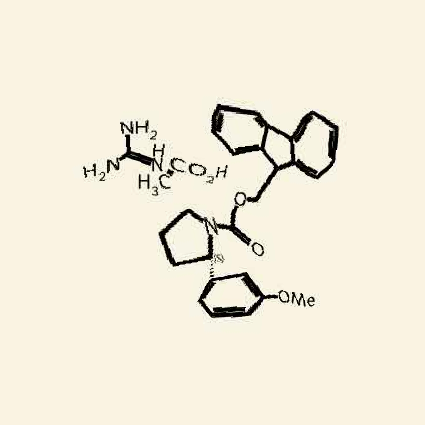 CC(=O)O.COc1cccc([C@@H]2CCCN2C(=O)OCC2c3ccccc3-c3ccccc32)c1.N=C(N)N